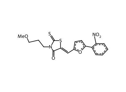 COCCCN1C(=O)C(=Cc2ccc(-c3ccccc3[N+](=O)[O-])o2)SC1=S